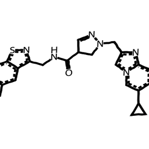 Cc1ccc2snc(CNC(=O)C3C=NN(Cc4cn5cc(C6CC6)ccc5n4)C3)c2c1